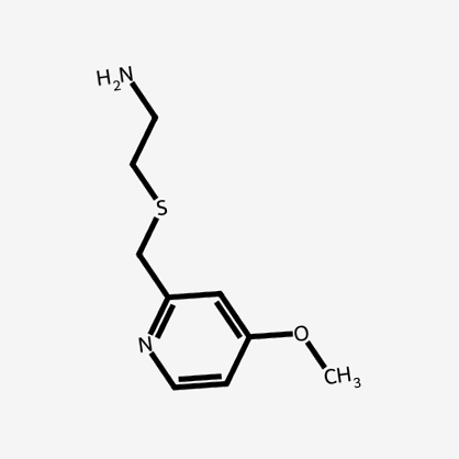 COc1ccnc(CSCCN)c1